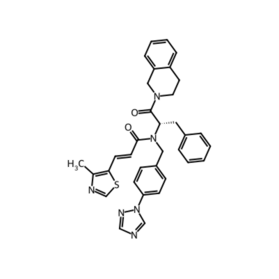 Cc1ncsc1C=CC(=O)N(Cc1ccc(-n2cncn2)cc1)[C@@H](Cc1ccccc1)C(=O)N1CCc2ccccc2C1